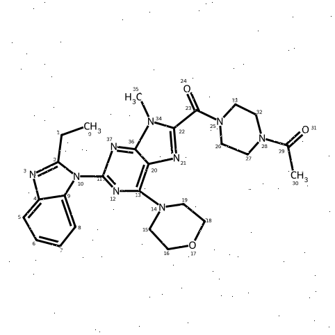 CCc1nc2ccccc2n1-c1nc(N2CCOCC2)c2nc(C(=O)N3CCN(C(C)=O)CC3)n(C)c2n1